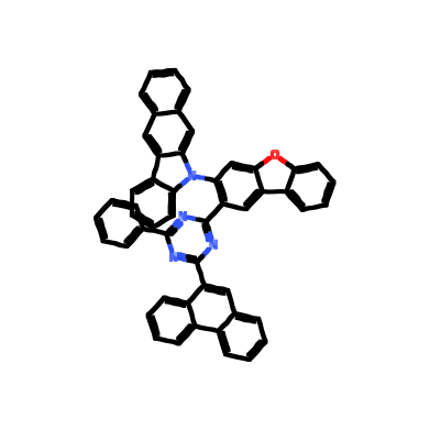 c1ccc(-c2nc(-c3cc4c(cc3-n3c5ccccc5c5cc6ccccc6cc53)oc3ccccc34)nc(-c3cc4ccccc4c4ccccc34)n2)cc1